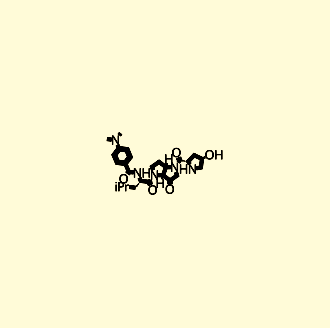 CC(C)C[C@H](NC(=O)c1ccc(N(C)C)cc1)C(=O)N1CC[C@@H]2[C@H]1C(=O)CN2C(=O)[C@@H]1C[C@@H](O)CN1